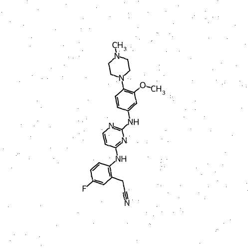 COc1cc(Nc2nccc(Nc3ccc(F)cc3CC#N)n2)ccc1N1CCN(C)CC1